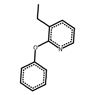 CCc1cccnc1Oc1ccccc1